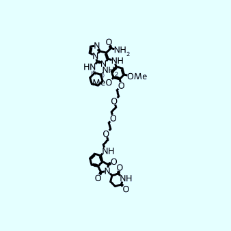 COc1cc(Nc2nc(N[C@H]3CCCC[C@H]3N)n3ccnc3c2C(N)=O)cc(OC)c1OCCOCCOCCOCCNc1cccc2c1C(=O)N(C1CCC(=O)NC1=O)C2=O